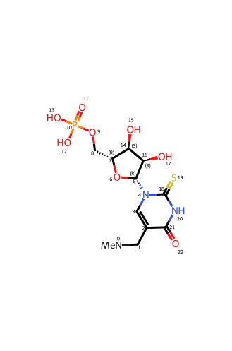 CNCc1cn([C@@H]2O[C@H](COP(=O)(O)O)[C@@H](O)[C@H]2O)c(=S)[nH]c1=O